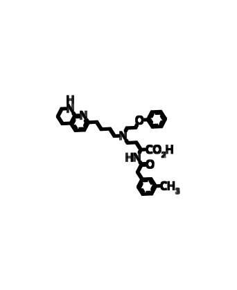 Cc1cccc(CC(=O)NC(CCN(CCCCc2ccc3c(n2)NCCC3)CCOc2ccccc2)C(=O)O)c1